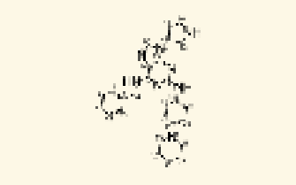 c1ccc(CNc2nc(Nc3ccc(N4CCCCC4)cc3)nc3c2ncn3[C@@H]2CCNC2)cc1